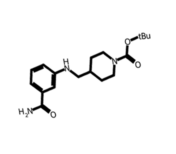 CC(C)(C)OC(=O)N1CCC(CNc2cccc(C(N)=O)c2)CC1